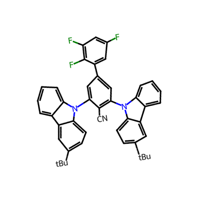 CC(C)(C)c1ccc2c(c1)c1ccccc1n2-c1cc(-c2cc(F)cc(F)c2F)cc(-n2c3ccccc3c3cc(C(C)(C)C)ccc32)c1C#N